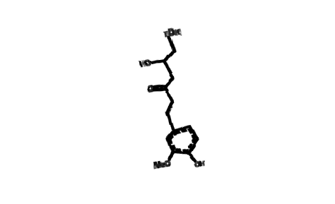 CCCCCCCCCCCC(O)CC(=O)CCc1ccc(O)c(OC)c1